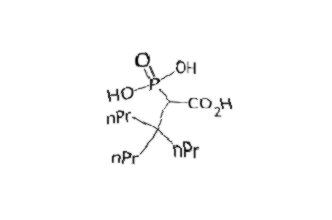 CCCC(CCC)(CCC)C(C(=O)O)P(=O)(O)O